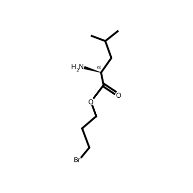 CC(C)C[C@H](N)C(=O)OCCCBr